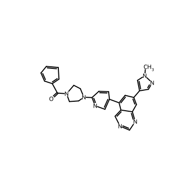 Cn1cc(-c2cc(-c3ccc(N4CCN(C(=O)c5ccccc5)CC4)nc3)c3cncnc3c2)cn1